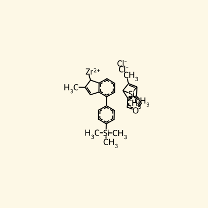 CC1=C2c3cocc3C1[Si]2(C)C.CC1=Cc2c(-c3ccc([Si](C)(C)C)cc3)cccc2[CH]1[Zr+2].[Cl-].[Cl-]